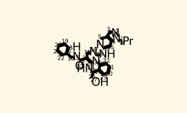 CC(C)n1ncc2cnc(Nc3ncc(C(=O)NCc4ccccc4)c(NC(CO)c4ccccc4)n3)cc21